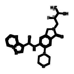 CC(O)[C@H](F)CN1Cc2cc(NC(=O)c3cnn4cccnc34)c(N3CCOCC3)cc2C1=O